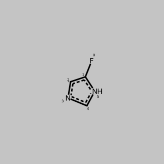 Fc1[c]nc[nH]1